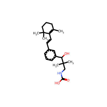 CC1=C(C=Cc2cccc(C(O)C(C)(C)CNC(=O)O)c2)C(C)(C)CCC1